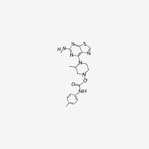 Cc1ccc(NC(=O)ON2CCN(c3nc(N)nc4scnc34)C(C)C2)cc1